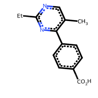 CCc1ncc(C)c(-c2ccc(C(=O)O)cc2)n1